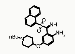 CCCCN1CCC(Oc2ccc(N)c(C(=N)S(=O)(=O)c3cccc4ccccc34)c2)CC1